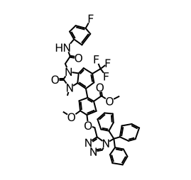 COC(=O)c1cc(OCc2nncn2C(c2ccccc2)(c2ccccc2)c2ccccc2)c(OC)cc1-c1cc(C(F)(F)F)cc2c1n(C)c(=O)n2CC(=O)Nc1ccc(F)cc1